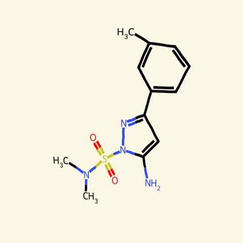 Cc1cccc(-c2cc(N)n(S(=O)(=O)N(C)C)n2)c1